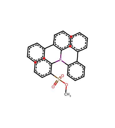 COS(=O)(=O)c1ccccc1P(c1ccccc1-c1ccccc1)c1ccccc1-c1ccccc1